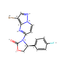 O=C1OC[C@H](c2ccc(F)cc2)N1c1ccn2ncc(Br)c2n1